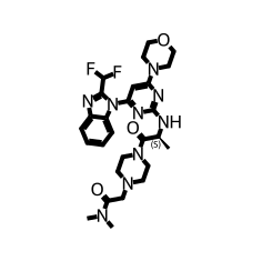 C[C@H](Nc1nc(N2CCOCC2)cc(-n2c(C(F)F)nc3ccccc32)n1)C(=O)N1CCN(CC(=O)N(C)C)CC1